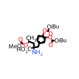 COC(=O)O[C@@H](C)CC(N)(Cc1ccc(OC(=O)OCC(C)C)c(OC(=O)OCC(C)C)c1)C(=O)O